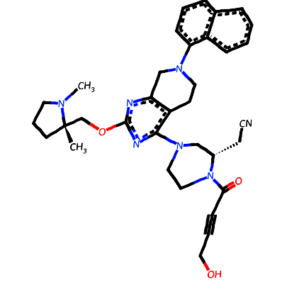 CN1CCC[C@@]1(C)COc1nc2c(c(N3CCN(C(=O)C#CCO)[C@@H](CC#N)C3)n1)CCN(c1cccc3ccccc13)C2